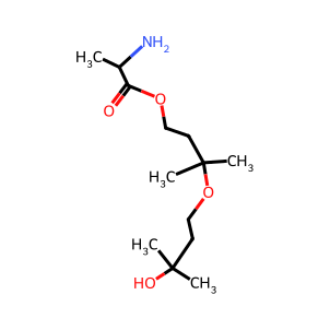 CC(N)C(=O)OCCC(C)(C)OCCC(C)(C)O